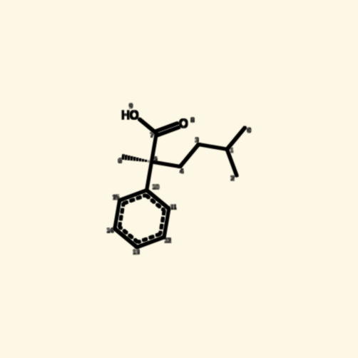 CC(C)CC[C@](C)(C(=O)O)c1ccccc1